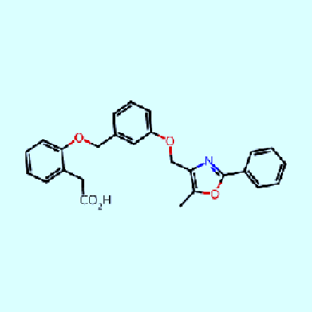 Cc1oc(-c2ccccc2)nc1COc1cccc(COc2ccccc2CC(=O)O)c1